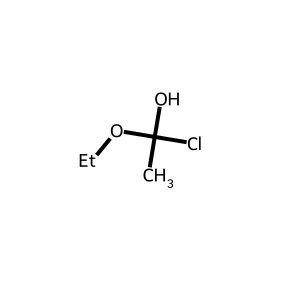 CCOC(C)(O)Cl